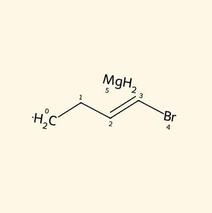 [CH2]CC=CBr.[MgH2]